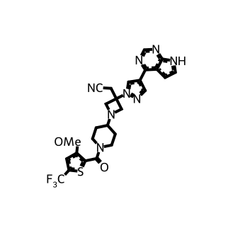 COc1cc(C(F)(F)F)sc1C(=O)N1CCC(N2CC(CC#N)(n3cc(-c4ncnc5[nH]ccc45)cn3)C2)CC1